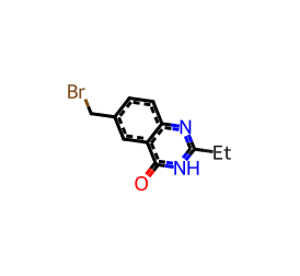 CCc1nc2ccc(CBr)cc2c(=O)[nH]1